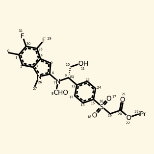 Cc1cc2c(cc(N(C=O)[C@H](CO)c3ccc(S(=O)(=O)CC(=O)OC(C)C)cc3)n2C)c(F)c1F